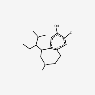 CCC(C1CN(C)CCc2cc(Cl)c(O)cc21)N(C)C